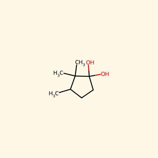 CC1CCC(O)(O)C1(C)C